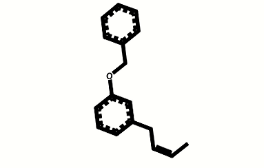 C/C=C\Cc1cccc(OCc2ccccc2)c1